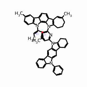 C/C=C\C(=C/C)n1c2ccc(C)cc2c2ccc3c4c(n(-c5cccc(-n6c7c(c8cc9c(cc86)c6ccccc6n9-c6ccccc6)C=CCC7)n5)c3c21)CCCC(C)=C4